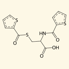 O=C(NC(CSC(=O)c1cccs1)C(=O)O)c1cccs1